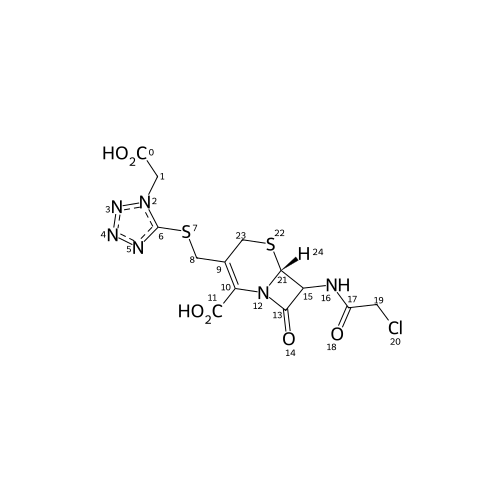 O=C(O)Cn1nnnc1SCC1=C(C(=O)O)N2C(=O)C(NC(=O)CCl)[C@H]2SC1